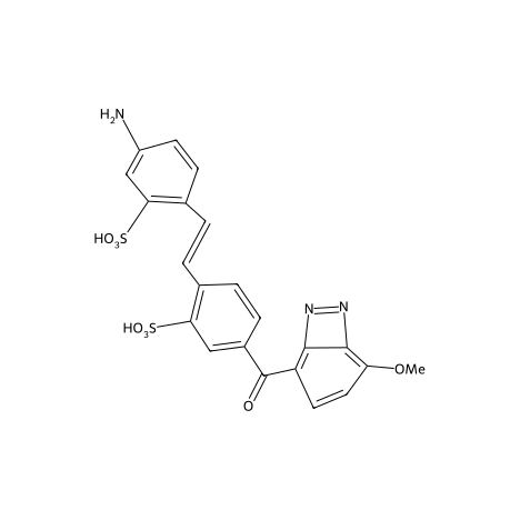 COc1ccc(C(=O)c2ccc(C=Cc3ccc(N)cc3S(=O)(=O)O)c(S(=O)(=O)O)c2)c2c1N=N2